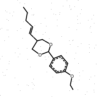 CCC/C=C/C1COC(c2ccc(OCC)cc2)OC1